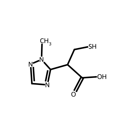 Cn1ncnc1C(CS)C(=O)O